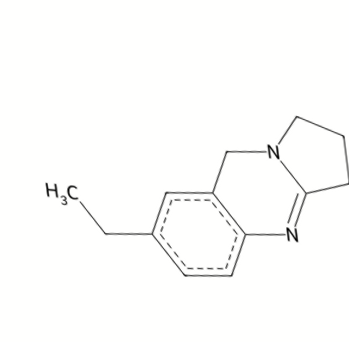 CCc1ccc2c(c1)CN1CCCC1=N2